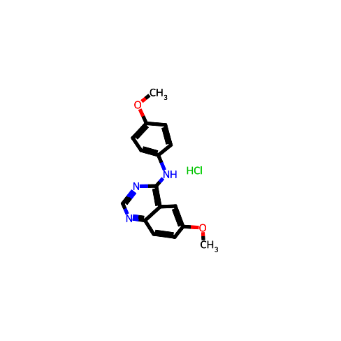 COc1ccc(Nc2ncnc3ccc(OC)cc23)cc1.Cl